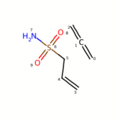 C=C=C.C=CCS(N)(=O)=O